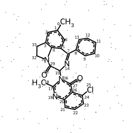 Cc1cc2c3c(c1)C(c1ccccc1)=NC(n1c(C)nc4cccc(Cl)c4c1=O)C(=O)N3CC2